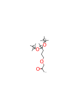 [CH2]C(=O)COCCC[Si](C)(O[Si](C)(C)C)O[Si](C)(C)C